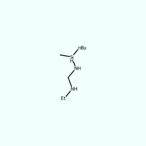 CCCC[SiH](C)NCNCC